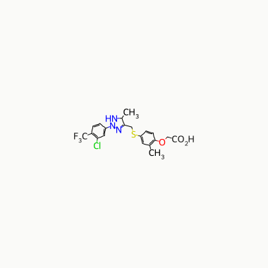 Cc1cc(SCC2=NN(c3ccc(C(F)(F)F)c(Cl)c3)NC2C)ccc1OCC(=O)O